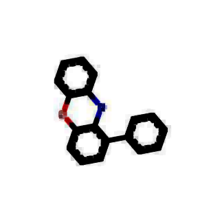 c1ccc(-c2cccc3c2[N]c2ccccc2O3)cc1